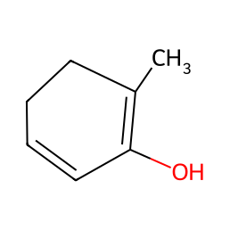 CC1=C(O)C=CCC1